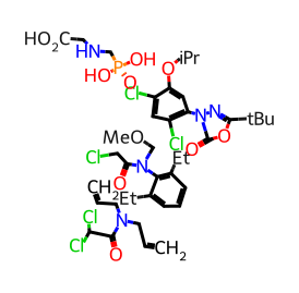 C=CCN(CC=C)C(=O)C(Cl)Cl.CC(C)Oc1cc(-n2nc(C(C)(C)C)oc2=O)c(Cl)cc1Cl.CCc1cccc(CC)c1N(COC)C(=O)CCl.O=C(O)CNCP(=O)(O)O